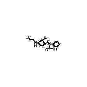 O=C1Nc2ccccc2C1=C1OCc2cc(NCCCl)ccc21